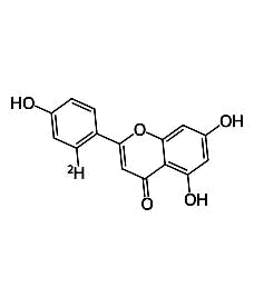 [2H]c1cc(O)ccc1-c1cc(=O)c2c(O)cc(O)cc2o1